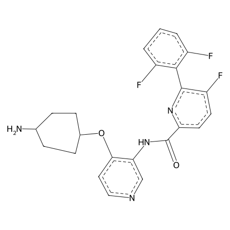 NC1CCC(Oc2ccncc2NC(=O)c2ccc(F)c(-c3c(F)cccc3F)n2)CC1